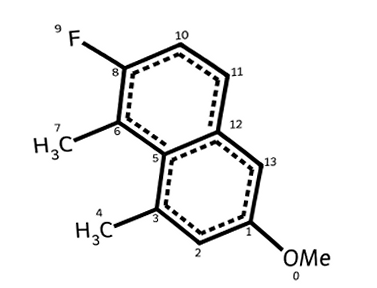 COc1cc(C)c2c(C)c(F)ccc2c1